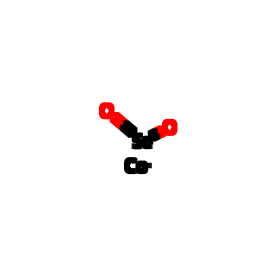 O=[Se]=O.[Co]